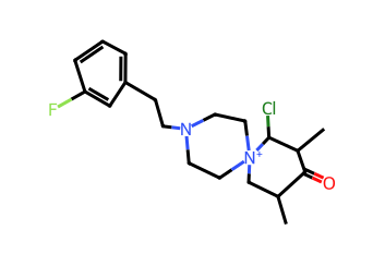 CC1C[N+]2(CCN(CCc3cccc(F)c3)CC2)C(Cl)C(C)C1=O